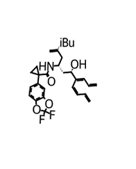 C=C/C=C\C(=C/C=C)[C@@H](O)C[C@@H](CC(=C)[C@@H](C)CC)NC(=O)C1(c2ccc3c(c2)OC(F)(F)O3)CC1